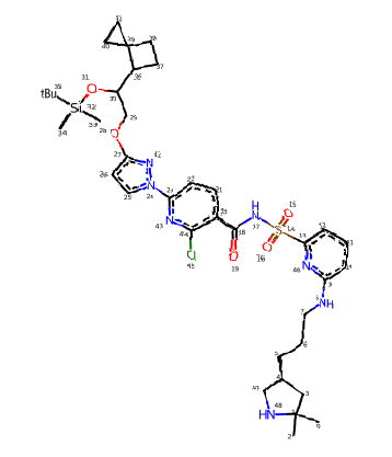 CC1(C)C[C@H](CCCNc2cccc(S(=O)(=O)NC(=O)c3ccc(-n4ccc(OCC(O[Si](C)(C)C(C)(C)C)C5CCC56CC6)n4)nc3Cl)n2)CN1